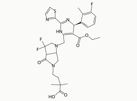 CCOC(=O)C1=C(CN2CC(F)(F)C3C(=O)N(CCC(C)(C)C(=O)O)CC32)NC(c2nccs2)=N[C@H]1c1cccc(F)c1C